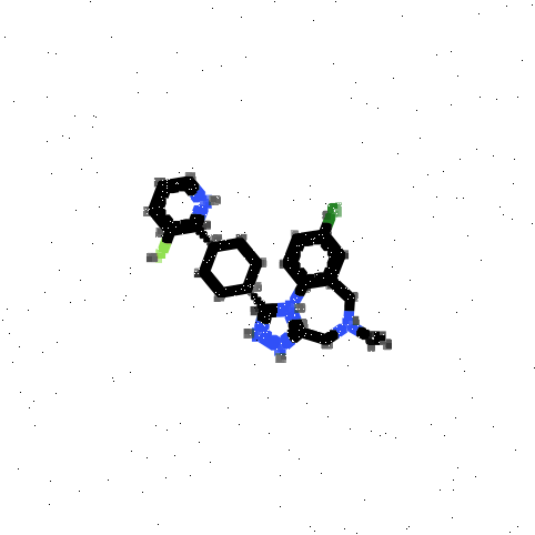 CN1Cc2cc(Cl)ccc2-n2c(nnc2[C@H]2CC[C@@H](c3ncccc3F)CC2)C1